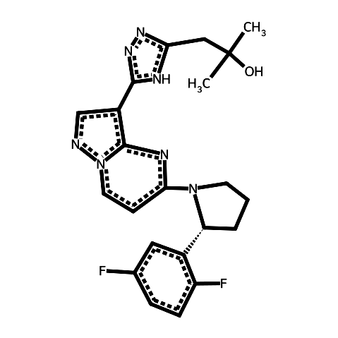 CC(C)(O)Cc1nnc(-c2cnn3ccc(N4CCC[C@@H]4c4cc(F)ccc4F)nc23)[nH]1